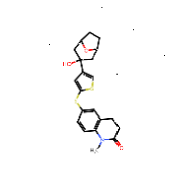 CN1C(=O)CCc2cc(Sc3cc(C4(O)CC5CCC(C4)O5)cs3)ccc21